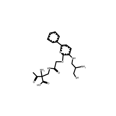 CC(=O)C(N)(CNC(=O)COc1nc(-c2ccccc2)ccc1NCC(N)CS)C(=O)O